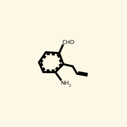 C=CCc1c(N)cccc1[C]=O